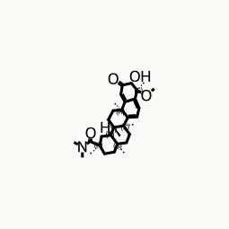 CO[C@@]1(C)C2=CC=C3[C@@](C)(CC[C@@]4(C)[C@@H]5C[C@](C)(C(=O)N(C)C)CC[C@]5(C)CC[C@]34C)C2=CC(=O)C1O